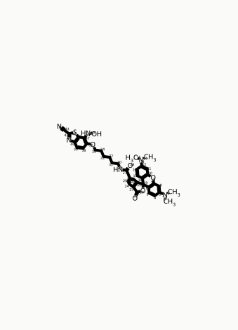 CN(C)c1ccc2c(c1)Oc1cc(N(C)C)ccc1C21OC(=O)c2ccc(C(=O)NCCCCCCOc3ccc4nc(C#N)sc4c3NO)cc21